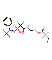 CCC(C)(C)C(=O)OCCNC(=O)C(F)(F)S(=O)(=O)/N=C(\c1ccccc1)C(F)(F)F